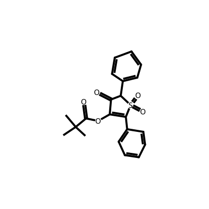 CC(C)(C)C(=O)OC1=C(c2ccccc2)S(=O)(=O)C(c2ccccc2)C1=O